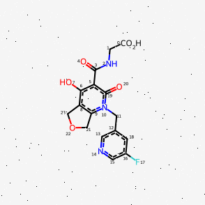 O=C(O)CNC(=O)c1c(O)c2c(n(Cc3cncc(F)c3)c1=O)COC2